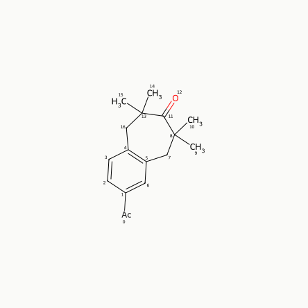 CC(=O)c1ccc2c(c1)CC(C)(C)C(=O)C(C)(C)C2